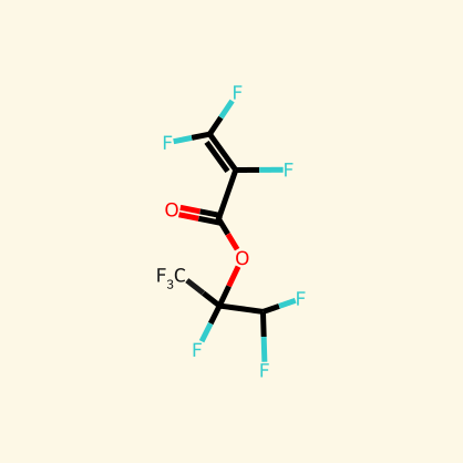 O=C(OC(F)(C(F)F)C(F)(F)F)C(F)=C(F)F